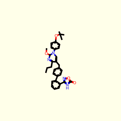 CCCC1=NC(OC)N(c2ccc(OC(C)(C)C)cc2)C=C1Cc1ccc(-c2ccccc2-c2noc(=O)[nH]2)cc1